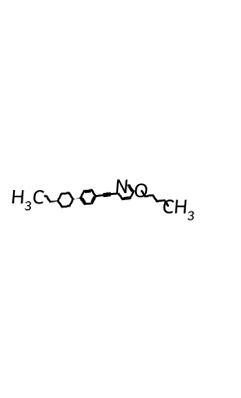 CCCCCOc1ccc(C#Cc2ccc([C@H]3CC[C@H](CCC)CC3)cc2)nc1